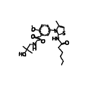 CCCCCC(=O)NC1SC=C(C)N1c1ccc(OC)c(S(=O)(=O)NCC(C)(C)O)c1